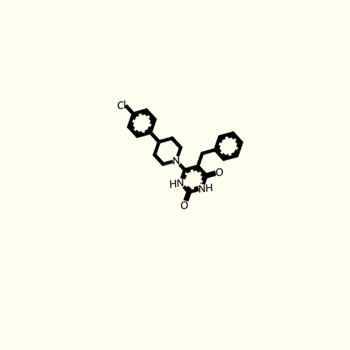 O=c1[nH]c(N2CCC(c3ccc(Cl)cc3)CC2)c(Cc2ccccc2)c(=O)[nH]1